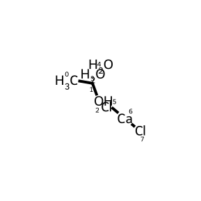 CCO.O.O.[Cl][Ca][Cl]